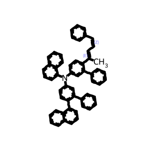 C/C(=C\C=C/c1ccccc1)c1ccc(N(c2ccc(-c3cccc4ccccc34)c(-c3ccccc3)c2)c2cccc3ccccc23)cc1-c1ccccc1